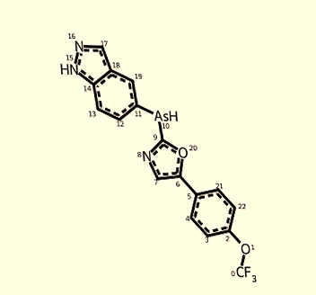 FC(F)(F)Oc1ccc(-c2cnc([AsH]c3ccc4[nH]ncc4c3)o2)cc1